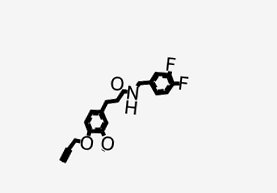 C#CCOc1ccc(CCC(=O)NCc2ccc(F)c(F)c2)cc1OC